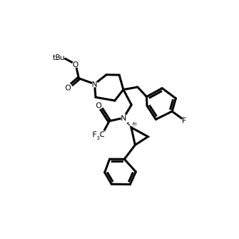 CC(C)(C)OC(=O)N1CCC(Cc2ccc(F)cc2)(CN(C(=O)C(F)(F)F)[C@@H]2CC2c2ccccc2)CC1